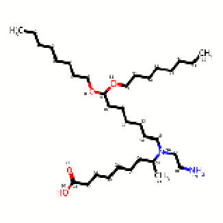 CCCCCCCCOC(CCCCCCN(CCN)C(C)CCCCCCC(=O)O)OCCCCCCCC